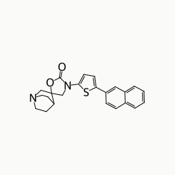 O=C1OC2(CN3CCC2CC3)CN1c1ccc(-c2ccc3ccccc3c2)s1